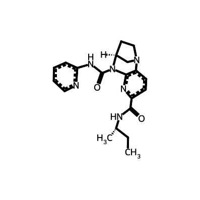 CC[C@H](C)NC(=O)c1ccc2c(n1)N(C(=O)Nc1ccccn1)[C@H]1CCN2C1